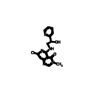 Cn1cnc2cc(Cl)nc(NCC(O)c3ccccn3)c2c1=O